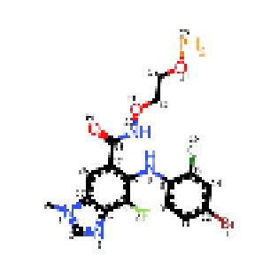 Cn1cnc2c(F)c(Nc3ccc(Br)cc3Cl)c(C(=O)NOCCOP)cc21